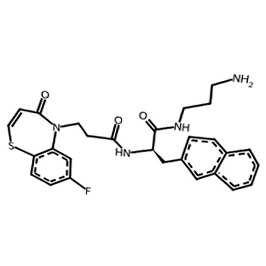 NCCCNC(=O)[C@@H](Cc1ccc2ccccc2c1)NC(=O)CCN1C(=O)C=CSc2ccc(F)cc21